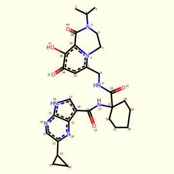 CC(C)N1CCn2c(CNC(=O)C3(NC(=O)c4c[nH]c5ncc(C6CC6)nc45)CCCCC3)cc(=O)c(O)c2C1=O